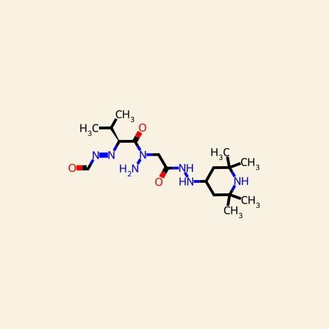 CC(C)[C@H](N=NC=O)C(=O)N(N)CC(=O)NNC1CC(C)(C)NC(C)(C)C1